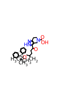 C=C(CCC(=O)c1[nH]nc2c1CN(C(=O)O)CC2)CO[Si](c1ccccc1)(c1ccccc1)C(C)(C)C